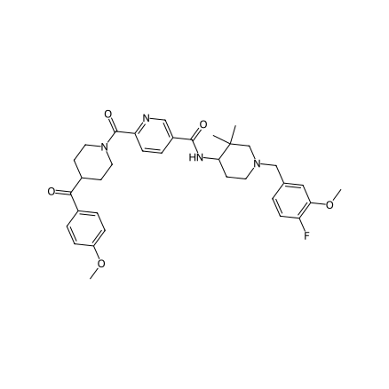 COc1ccc(C(=O)C2CCN(C(=O)c3ccc(C(=O)NC4CCN(Cc5ccc(F)c(OC)c5)CC4(C)C)cn3)CC2)cc1